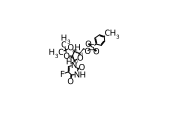 Cc1ccc(S(=O)(=O)OC[C@H]2O[C@@H](n3cc(F)c(=O)[nH]c3=O)[C@@H]3OC(C)(C)O[C@@H]32)cc1